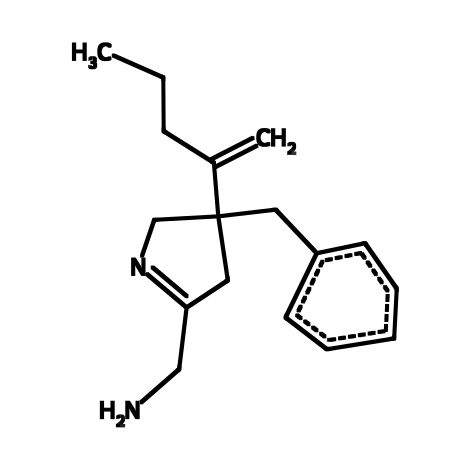 C=C(CCC)C1(Cc2ccccc2)CN=C(CN)C1